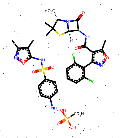 Cc1noc(NS(=O)(=O)c2ccc(N)cc2)c1C.Cc1onc(-c2c(Cl)cccc2Cl)c1C(=O)N[C@@H]1C(=O)N2[C@@H]1SC(C)(C)[C@@H]2C(=O)O.O=C(O)P(=O)(O)O